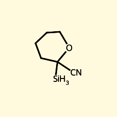 N#CC1([SiH3])CCCCO1